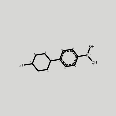 OB(O)c1ccc(C2CCC(F)CC2)cc1